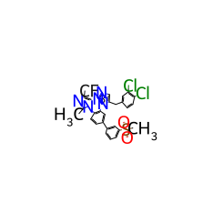 Cc1nc(C(F)(F)F)cn1-c1ccc(-c2cccc(S(C)(=O)=O)c2)cc1-n1nncc1Cc1ccc(Cl)c(Cl)c1